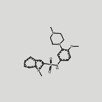 COc1ccc(NS(=O)(=O)c2cc3ccccc3n2C)cc1N1CCN(C)CC1